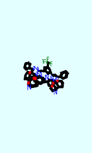 N#Cc1ccccc1-c1ccc2c3ccc(-c4ccccc4C#N)cc3n(-c3c(-c4cc(-c5ccccc5)nc(-c5ccccc5)n4)cc(C(F)(F)F)cc3-c3nc(-c4ccccc4)cc(-c4ccccc4)n3)c2c1